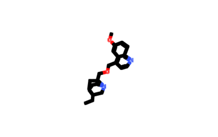 CCC1CN2CCC1CC2COCc1ccnc2ccc(OC)cc12